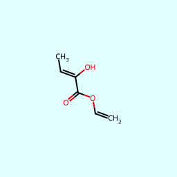 C=COC(=O)C(O)=CC